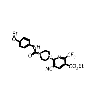 CCOC(=O)c1cc(C#N)c(N2CCN(C(=O)Nc3ccc(OCC)cc3)CC2)nc1C(F)(F)F